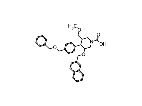 COCC1CN(C(=O)O)CC(OCc2ccc3ccccc3c2)C1c1ccc(COCc2ccccc2)cc1